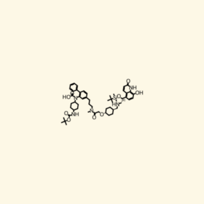 CN(CCCc1ccc(-c2ccccc2)c(N(C(=O)O)C2CCC(NC(=O)OC(C)(C)C)CC2)c1)C(=O)CO[C@H]1CC[C@H](CNC[C@H](O[Si](C)(C)C(C)(C)C)c2ccc(O)c3[nH]c(=O)ccc23)CC1